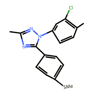 CSc1ccc(-c2nc(C)nn2-c2ccc(C)c(Cl)c2)cc1